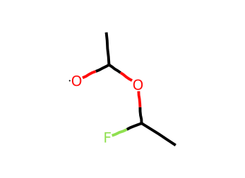 CC([O])OC(C)F